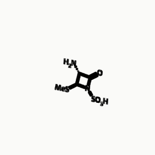 CSC1[C@H](N)C(=O)N1S(=O)(=O)O